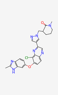 Cc1nc2ccc(Oc3ccc4ncc(-c5cnn(CC6CCCN(C)C6=O)c5)nc4c3Cl)cc2[nH]1